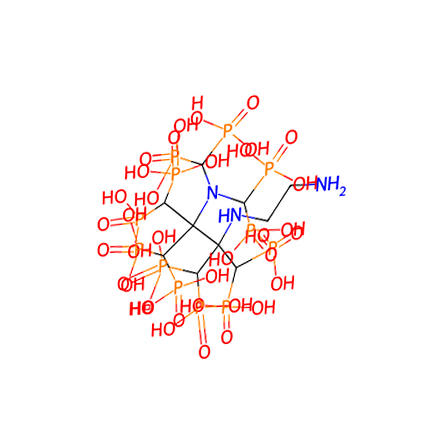 NCCNC(C(P(=O)(O)O)P(=O)(O)O)(C(P(=O)(O)O)P(=O)(O)O)C(C(P(=O)(O)O)P(=O)(O)O)(C(P(=O)(O)O)P(=O)(O)O)N(C(P(=O)(O)O)P(=O)(O)O)C(P(=O)(O)O)P(=O)(O)O